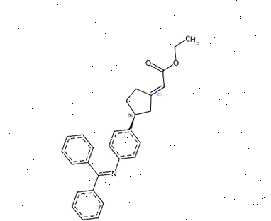 CCOC(=O)/C=C1\CC[C@H](c2ccc(N=C(c3ccccc3)c3ccccc3)cc2)C1